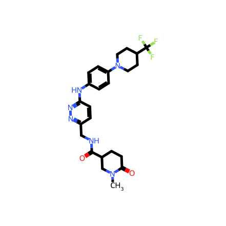 CN1CC(C(=O)NCc2ccc(Nc3ccc(N4CCC(C(F)(F)F)CC4)cc3)nn2)CCC1=O